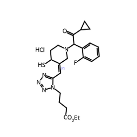 CCOC(=O)CCCn1nnnc1/C=C1/CN(C(C(=O)C2CC2)c2ccccc2F)CCC1S.Cl